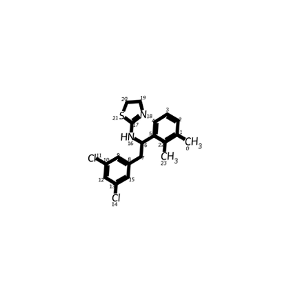 Cc1cccc(C(Cc2cc(Cl)cc(Cl)c2)NC2=NCCS2)c1C